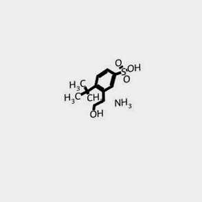 CC(C)(C)c1ccc(S(=O)(=O)O)cc1CCO.N